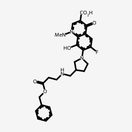 CNn1cc(C(=O)O)c(=O)c2cc(F)c(N3CCC(CNCCC(=O)OCc4ccccc4)C3)c(O)c21